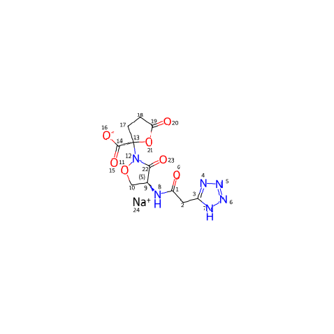 O=C(Cc1nnn[nH]1)N[C@H]1CON(C2(C(=O)[O-])CCC(=O)O2)C1=O.[Na+]